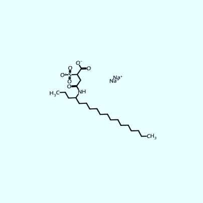 CCCCCCCCCCCCCCC(CCC)NC(=O)CC(C(=O)[O-])S(=O)(=O)[O-].[Na+].[Na+]